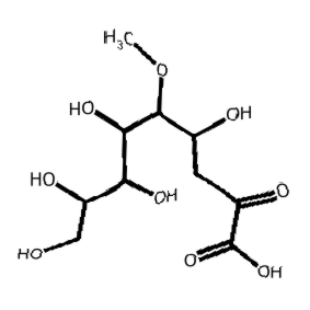 COC(C(O)CC(=O)C(=O)O)C(O)C(O)C(O)CO